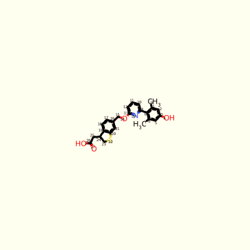 Cc1cc(O)cc(C)c1-c1cccc(OCc2ccc3c(c2)SCC3CC(=O)O)n1